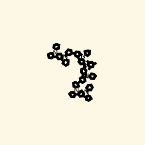 Cc1cc(C)c(B(c2ccc3c4cc(-c5cccc(-n6c7ccccc7c7cc8c9ccccc9n(-c9ccccc9)c8cc76)c5)ccc4n(-c4ccccc4)c3c2)c2ccc3c4cc(-c5cccc(-n6c7ccccc7c7cc8c9ccccc9n(-c9ccccc9)c8cc76)c5)ccc4n(-c4ccccc4)c3c2)c(C)c1